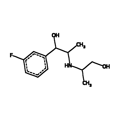 CC(CO)NC(C)C(O)c1cccc(F)c1